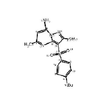 CSc1nn2c(N)cc(C)nc2c1S(=O)(=O)c1ccc(C(C)(C)C)cc1